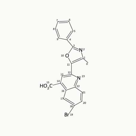 Cc1nc(-c2ccccc2)oc1-c1cc(C(=O)O)c2cc(Br)ccc2n1